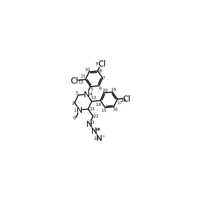 CN1CCN(c2ccc(Cl)cc2Cl)C(c2ccc(Cl)cc2)C1CN=[N+]=[N-]